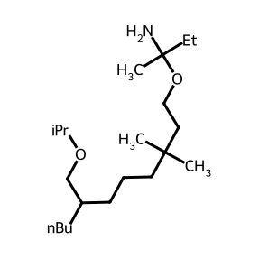 CCCCC(CCCC(C)(C)CCOC(C)(N)CC)COC(C)C